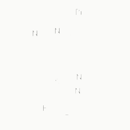 FC(F)c1nnc(C2=CC3=NCCN3c3c(Br)cccc32)s1